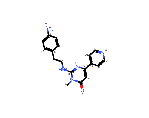 Cn1c(NCCc2ccc(N)cc2)nc(-c2ccncc2)cc1=O